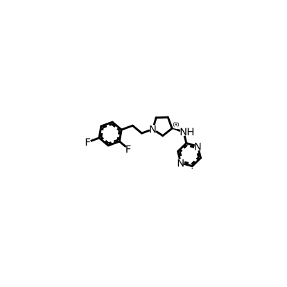 Fc1ccc(CCN2CC[C@@H](Nc3cn[c]cn3)C2)c(F)c1